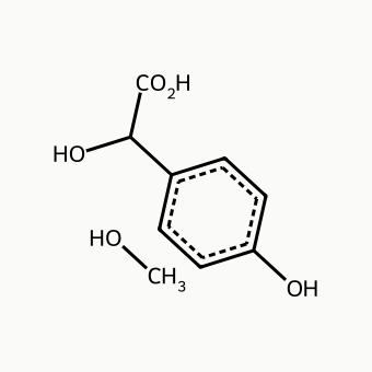 CO.O=C(O)C(O)c1ccc(O)cc1